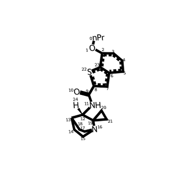 CCCOc1cccc2cc(C(=O)N[C@H]3C4CCN(CC4)C34CC4)sc12